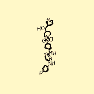 O=S(=O)(c1ccc(Nc2nccc(Nc3ccc(F)cc3)n2)cc1)N1CCC(C(O)c2cccnc2)CC1